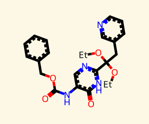 CCOC(Cc1cccnc1)(OCC)c1ncc(NC(=O)OCc2ccccc2)c(=O)[nH]1